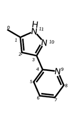 Cc1[c]c(-c2ccccn2)n[nH]1